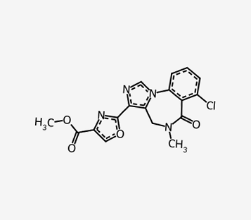 COC(=O)c1coc(-c2ncn3c2CN(C)C(=O)c2c(Cl)cccc2-3)n1